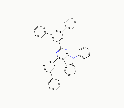 c1ccc(-c2cc(-c3ccccc3)cc(-c3nc(-c4cccc(-c5ccccc5)c4)c4c5ccccc5n(-c5ccccc5)c4n3)c2)cc1